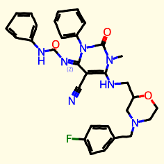 Cn1c(NCC2CN(Cc3ccc(F)cc3)CCO2)c(C#N)/c(=N/C(=O)Nc2ccccc2)n(-c2ccccc2)c1=O